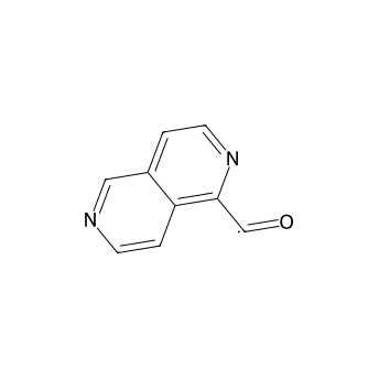 O=[C]c1nccc2cnccc12